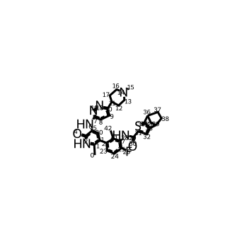 Cc1[nH]c(=O)c(Nc2ccc(C3CCN(C)CC3)nn2)cc1-c1ccc(F)c(NC(=O)c2cc3c(s2)C2CCC3C2)c1C